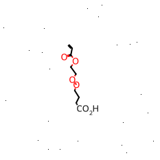 C=CC(=O)OCCOOCCCC(=O)O